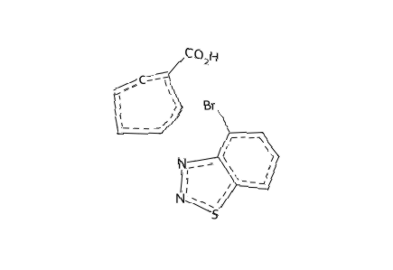 Brc1cccc2snnc12.O=C(O)c1ccccc1